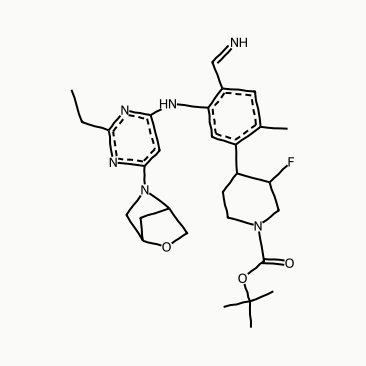 CCc1nc(Nc2cc(C3CCN(C(=O)OC(C)(C)C)CC3F)c(C)cc2C=N)cc(N2CC3CC2CO3)n1